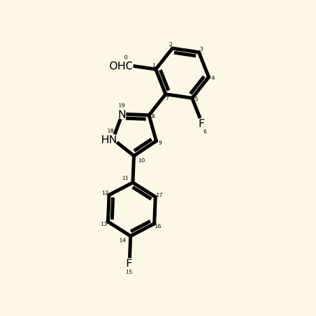 O=Cc1cccc(F)c1-c1cc(-c2ccc(F)cc2)[nH]n1